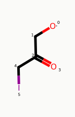 [O]CC(=O)CI